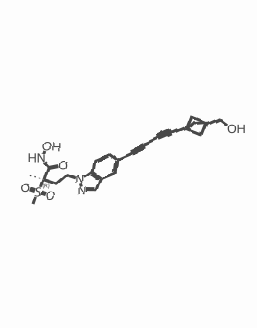 C[C@@](CCn1ncc2cc(C#CC#CC34CC(CO)(C3)C4)ccc21)(C(=O)NO)S(C)(=O)=O